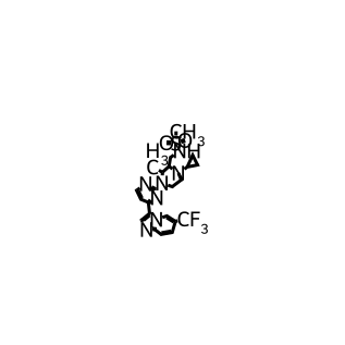 CC1C(CNS(C)(=O)=O)N(C2CC2)CCN1c1nccc(-c2cnc3ccc(C(F)(F)F)cn23)n1